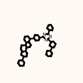 c1ccc(-c2cccc(-c3nc(-c4ccccc4)nc(-c4ccc(-c5cccc6c5ccc5c7ccc(-c8ccccc8)cc7ccc65)cc4)n3)c2)cc1